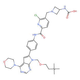 C[Si](C)(C)CCOCn1c(-c2ccc(NC(=O)c3ccc(CN4CC(NC(=O)O)C4)c(Cl)n3)cc2)cc2c(N3CCOCC3)ncnc21